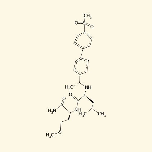 CSCC[C@H](NC(=O)[C@H](CC(C)C)N[C@H](C)c1ccc(-c2ccc(S(C)(=O)=O)cc2)cc1)C(N)=O